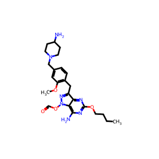 CCCCOc1nc(N)c2c(n1)c(Cc1ccc(CN3CCC(N)CC3)cc1OC)nn2OC=O